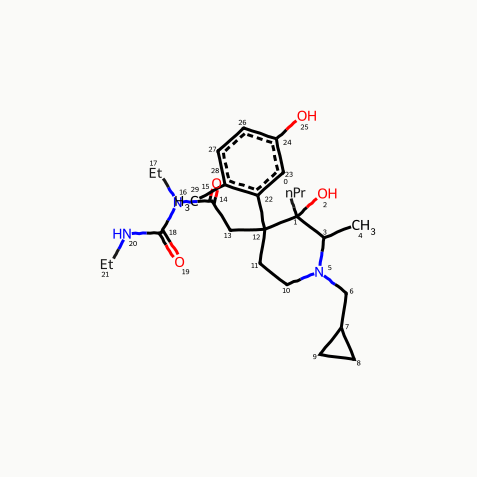 CCCC1(O)C(C)N(CC2CC2)CCC1(CC(=O)N(CC)C(=O)NCC)c1cc(O)ccc1C